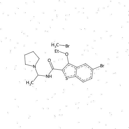 CBr.CCOc1c(C(=O)NC(C)N2CCCC2)sc2ccc(Br)cc12